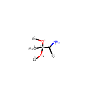 CCO[Si](OC)(OCC)C(N)CC